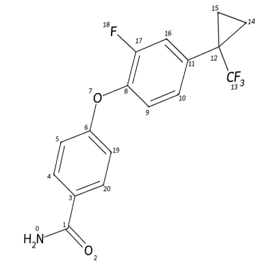 NC(=O)c1ccc(Oc2ccc(C3(C(F)(F)F)CC3)cc2F)cc1